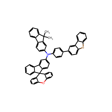 CC1(C)c2ccccc2-c2ccc(N(c3ccc(-c4ccc5sc6ccccc6c5c4)cc3)c3ccc4c(c3)-c3ccccc3C43c4ccccc4Oc4ccccc43)cc21